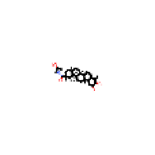 CC[C@@]12CC[C@@]3(C)C4=CC(=O)C(O)=C(C)C4=CC=C3[C@@]1(C)CC[C@@]1(C)CC[C@@](C)(C(=O)N3CC(O)C3)C[C@H]12